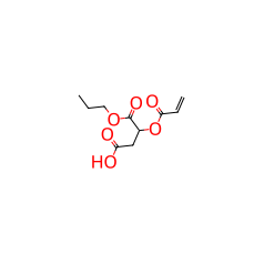 C=CC(=O)OC(CC(=O)O)C(=O)OCCC